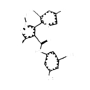 Cc1cc(C)cc(NC(=O)c2c(C)nn(C)c2-c2ncc(Cl)cc2Cl)c1